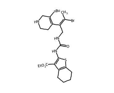 CCCCC1=C(/C(CNC(=O)Nc2sc3c(c2C(=O)OCC)CCCC3)=C(\C)Br)CCNC1